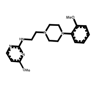 COc1ccnc(NCCN2CCN(c3ccccc3OC)CC2)n1